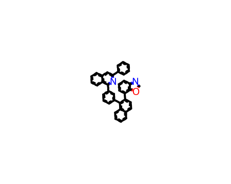 c1ccc(-c2cc3ccccc3c(-c3cccc(-c4c(-c5cccc6ncoc56)ccc5ccccc45)c3)n2)cc1